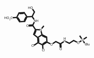 Cn1c(C(=O)NC(CO)c2ccc(C(=O)O)cc2)cc2c(Cl)c(Cl)c(OCC(=O)NCCO[Si](C)(C)C(C)(C)C)cc21